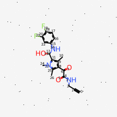 C#CCNC(=O)C(=O)c1c(C)c(C(O)Nc2ccc(F)c(F)c2)n(C)c1C